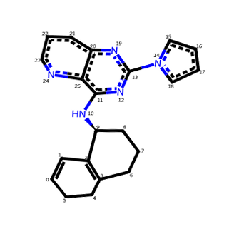 C1=CC2=C(CC1)CCC[C@@H]2Nc1nc(-n2cccc2)nc2cccnc12